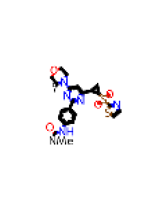 CNC(=O)Nc1ccc(-c2nc(C3CC3S(=O)(=O)c3nccs3)cc(N3CCOC[C@@H]3C)n2)cc1